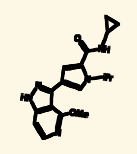 COc1nccc2[nH]nc(-c3cc(C(=O)NC4CC4)n(C(C)C)c3)c12